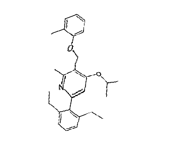 CCc1cccc(CC)c1-c1cc(OC(C)C)c(COc2ccccc2C)c(C)n1